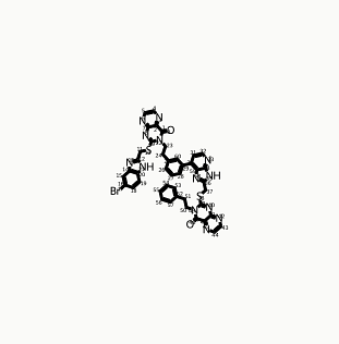 O=c1c2nccnc2nc(SCc2nc3cc(Br)ccc3[nH]2)n1CCc1cccc(-c2ccnc3[nH]c(CSc4nc5nccnc5c(=O)n4CCc4ccccc4)nc23)c1